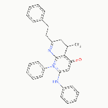 O=c1cc(Nc2ccccc2)n(-c2ccccc2)c2c1C(C(F)(F)F)CC(CCc1ccccc1)=N2